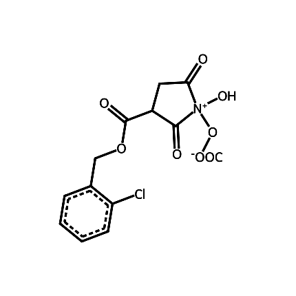 O=C([O-])O[N+]1(O)C(=O)CC(C(=O)OCc2ccccc2Cl)C1=O